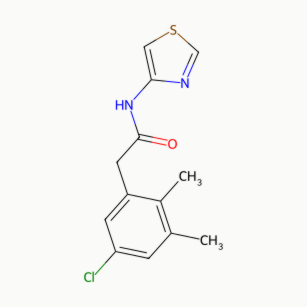 Cc1cc(Cl)cc(CC(=O)Nc2cscn2)c1C